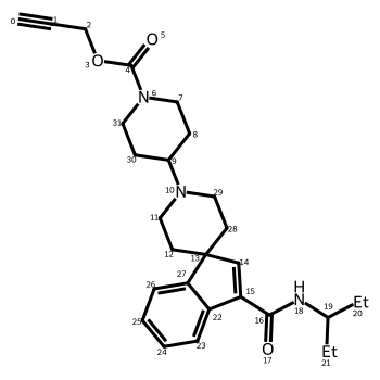 C#CCOC(=O)N1CCC(N2CCC3(C=C(C(=O)NC(CC)CC)c4ccccc43)CC2)CC1